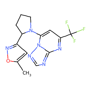 Cc1cc(C2CCCN2c2cc(C(F)(F)F)nc3ncnn23)no1